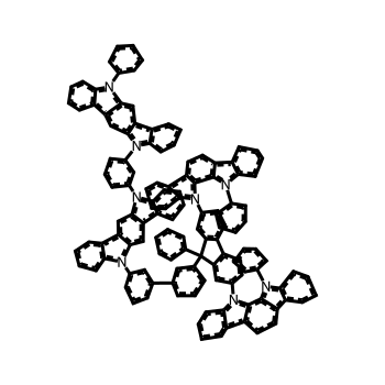 c1ccc(-n2c3ccccc3c3cc4c(cc32)c2ccccc2n4-c2cccc(-n3c4ccccc4c4cc5c(cc43)c3ccccc3n5-c3cccc(-c4cccc(C5(c6ccccc6)c6cc(-n7c8ccccc8c8ccc9c%10ccccc%10n(-c%10ccccc%10)c9c87)ccc6-c6ccc(-n7c8ccccc8c8ccc9c%10ccccc%10n(-c%10ccccc%10)c9c87)cc65)c4)c3)c2)cc1